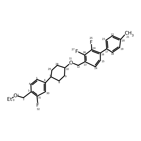 CCOCc1ccc(C2CCC(OCc3ccc(-c4ccc(C)cc4)c(F)c3F)CC2)cc1F